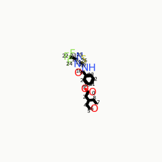 O=C(CC1CCOCC1)Oc1cccc(C(=O)Nc2nc(C(F)(F)F)ns2)c1